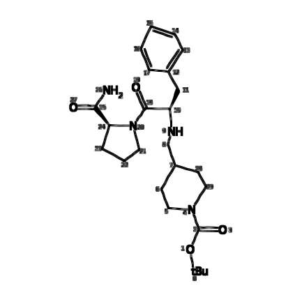 CC(C)(C)OC(=O)N1CCC(CN[C@H](Cc2ccccc2)C(=O)N2CCC[C@H]2C(N)=O)CC1